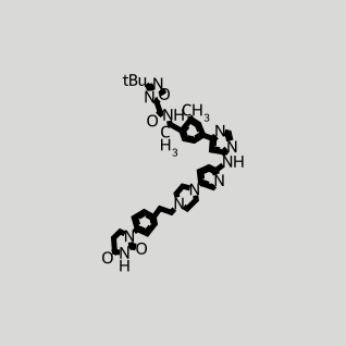 Cc1cc(-c2cc(Nc3ccc(N4CCN(CCc5ccc(N6CCC(=O)NC6=O)cc5)CC4)cn3)ncn2)ccc1[C@@H](C)NC(=O)c1nc(C(C)(C)C)no1